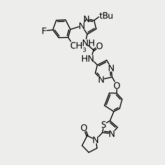 Cc1cc(F)ccc1-n1nc(C(C)(C)C)cc1NC(=O)Nc1cnc(Oc2ccc(-c3cnc(N4CCCC4=O)s3)cc2)nc1